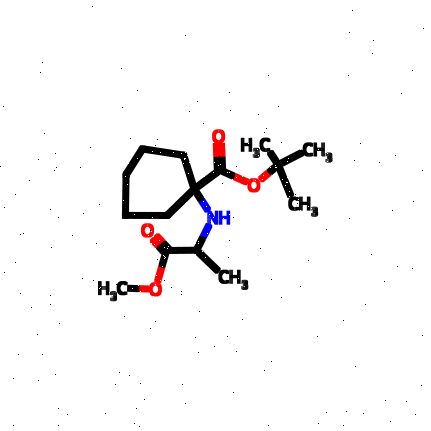 COC(=O)C(C)NC1(C(=O)OC(C)(C)C)CCCCC1